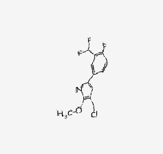 COc1ncc(-c2ccc(F)c(C(F)F)c2)cc1CCl